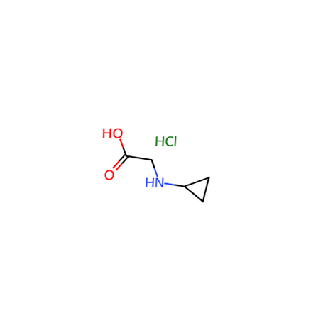 Cl.O=C(O)CNC1CC1